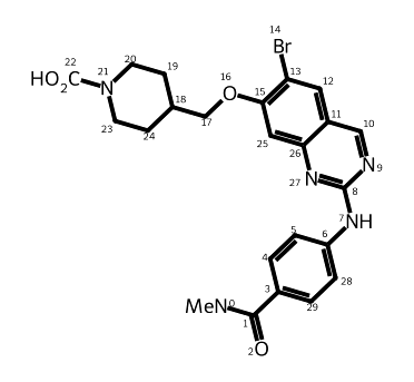 CNC(=O)c1ccc(Nc2ncc3cc(Br)c(OCC4CCN(C(=O)O)CC4)cc3n2)cc1